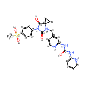 O=C(Nc1ccccn1)Nc1cc(CN2C(=O)N(c3ccc(S(=O)(=O)C(F)(F)F)cc3)C(=O)C23CC3)ccn1